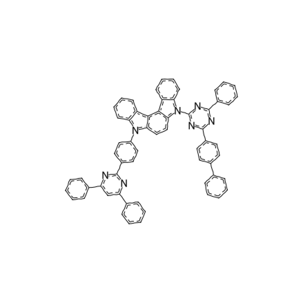 c1ccc(-c2ccc(-c3nc(-c4ccccc4)nc(-n4c5ccccc5c5c6c7ccccc7n(-c7ccc(-c8nc(-c9ccccc9)cc(-c9ccccc9)n8)cc7)c6ccc54)n3)cc2)cc1